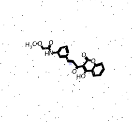 COCC(=O)Nc1cccc(/C=C/C(=O)c2c(O)c3ccccc3oc2=O)c1